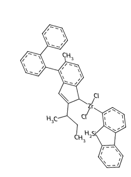 CCC(C)C1=Cc2c(ccc(C)c2-c2ccccc2-c2ccccc2)[CH]1[Zr]([Cl])([Cl])[c]1cccc2c1[SiH2]c1ccccc1-2